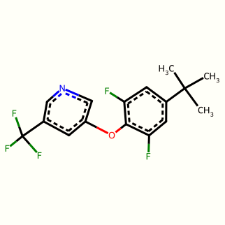 CC(C)(C)c1cc(F)c(Oc2cncc(C(F)(F)F)c2)c(F)c1